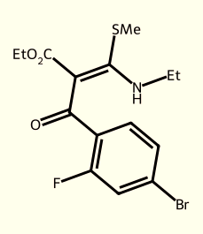 CCNC(SC)=C(C(=O)OCC)C(=O)c1ccc(Br)cc1F